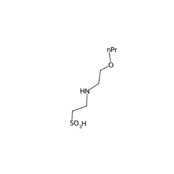 CCCOCCNCCS(=O)(=O)O